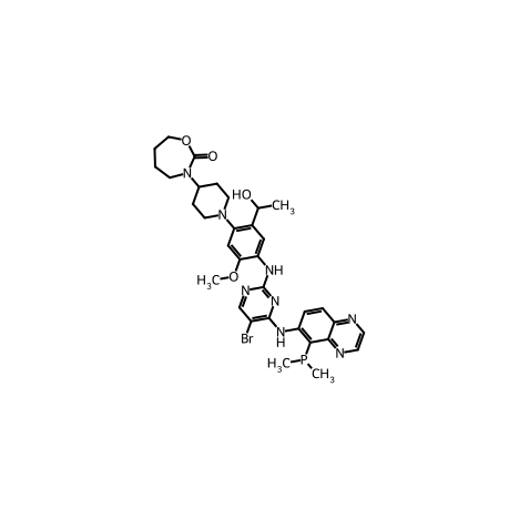 COc1cc(N2CCC(N3CCCCOC3=O)CC2)c(C(C)O)cc1Nc1ncc(Br)c(Nc2ccc3nccnc3c2P(C)C)n1